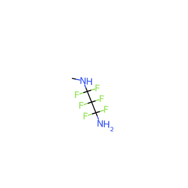 CNC(F)(F)C(F)(F)C(N)(F)F